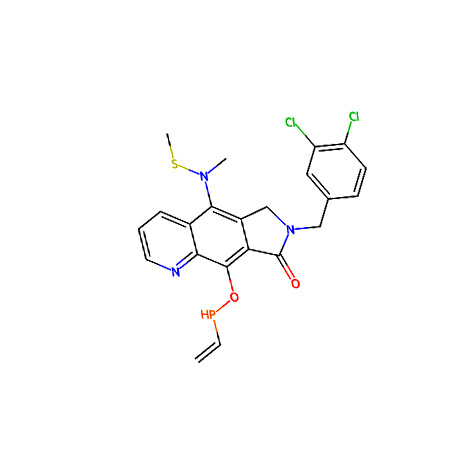 C=CPOc1c2c(c(N(C)SC)c3cccnc13)CN(Cc1ccc(Cl)c(Cl)c1)C2=O